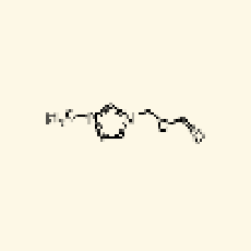 Cn1cc[n+](COC=O)c1